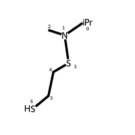 CC(C)N(C)SCCS